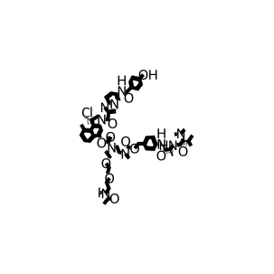 CC(=O)N(I)CCOCCOCCN(CCN(C)C(=O)OCc1ccc(NC(=O)[C@H](C)NC(=O)[C@H](C(C)C)N(C)C)cc1)C(=O)Oc1cc2c(c3c(C)cccc13)[C@H](CCl)CN2C(=O)c1cn2cc(NC(=O)c3ccc(O)cc3)ccc2n1